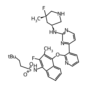 Cc1c(F)c(NS(=O)(=O)CCC(C)(C)C)c2ccccc2c1Oc1ncccc1-c1ccnc(N[C@@H]2CNC[C@@](C)(F)C2)n1